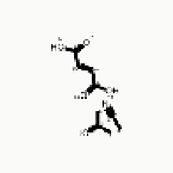 CC#N.CC(C)=O.O=C(O)C=CC(=O)O